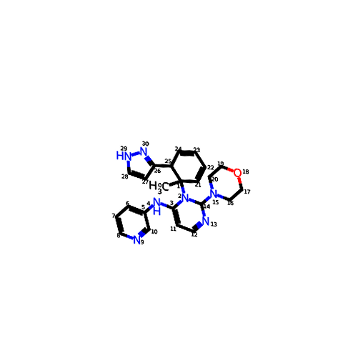 CC1(N2C(Nc3cccnc3)=CC=NC2N2CCOCC2)C=CC=CC1c1cc[nH]n1